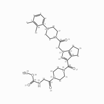 Cc1cccc(N2CCN(C(=O)Cn3nc(C(=O)N4CCN(C(=O)CNC(=O)OC(C)(C)C)CC4)c4c3CCC4)CC2)c1C